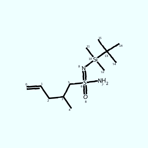 C=CCC(C)CS(N)(=O)=N[Si](C)(C)C(C)(C)C